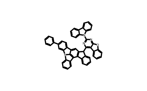 c1ccc(-c2ccc3c4cc5c(c6c7ccccc7n(c3c2)c46)-c2ccccc2C5c2nc(-n3c4ccccc4c4ccccc43)nc3oc4ccccc4c23)cc1